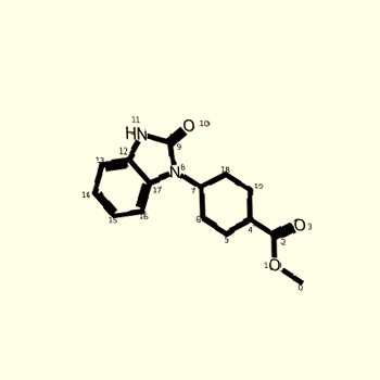 COC(=O)C1CCC(n2c(=O)[nH]c3ccccc32)CC1